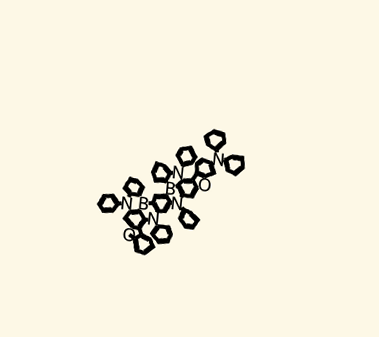 c1ccc(N(c2ccccc2)c2ccc3c(c2)oc2cc4c5c(c23)N(c2ccccc2)c2ccccc2B5c2cc3c(cc2N4c2ccccc2)N(c2ccccc2)c2c4c(cc5oc6ccccc6c25)N(c2ccccc2)c2ccccc2B34)cc1